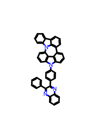 c1ccc(-c2nc3ccccc3nc2-c2ccc(-n3c4cccc5c6cccc7c8ccccc8n(c8cccc3c8c54)c67)cc2)cc1